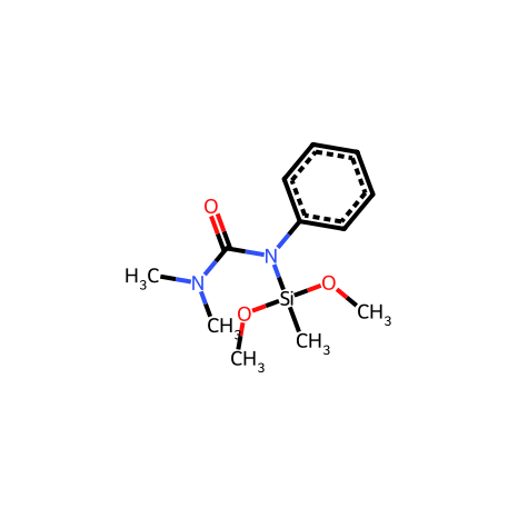 CO[Si](C)(OC)N(C(=O)N(C)C)c1ccccc1